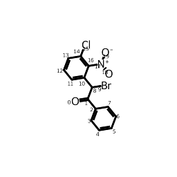 O=C(c1ccccc1)C(Br)c1cccc(Cl)c1[N+](=O)[O-]